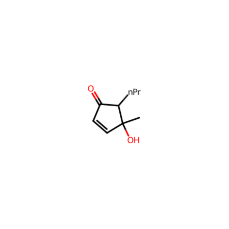 CCCC1C(=O)C=CC1(C)O